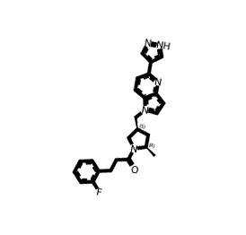 C[C@@H]1C[C@H](Cn2ccc3nc(-c4cn[nH]c4)ccc32)CN1C(=O)CCc1ccccc1F